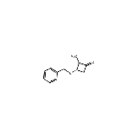 CC(=O)ON1C(=O)C[C@@H]1SCc1ccccc1